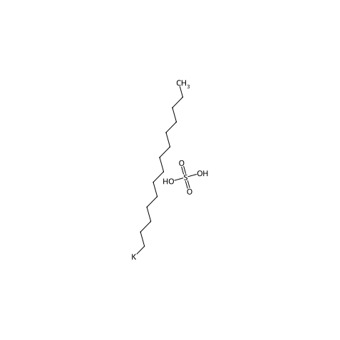 CCCCCCCCCCCCC[CH2][K].O=S(=O)(O)O